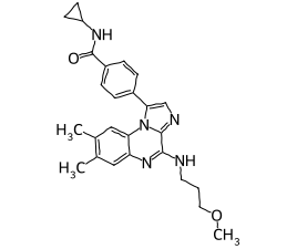 COCCCNc1nc2cc(C)c(C)cc2n2c(-c3ccc(C(=O)NC4CC4)cc3)cnc12